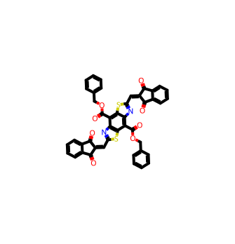 O=C1C(=Cc2nc3c(C(=O)OCc4ccccc4)c4sc(C=C5C(=O)c6ccccc6C5=O)nc4c(C(=O)OCc4ccccc4)c3s2)C(=O)c2ccccc21